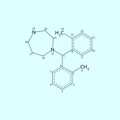 Cc1ccccc1C(c1ccccc1C)N1CCC[N]CC1